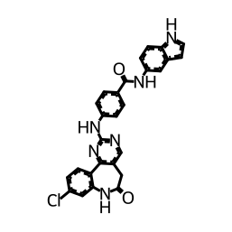 O=C1Cc2cnc(Nc3ccc(C(=O)Nc4ccc5[nH]ccc5c4)cc3)nc2-c2ccc(Cl)cc2N1